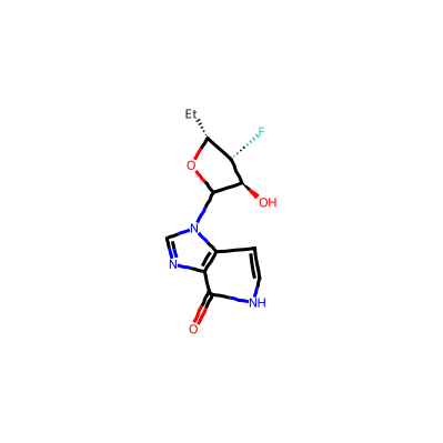 CC[C@H]1OC(n2cnc3c(=O)[nH]ccc32)[C@H](O)[C@H]1F